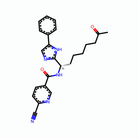 CC(=O)CCCCC[C@H](NC(=O)c1ccc(C#N)nc1)c1ncc(-c2ccccc2)[nH]1